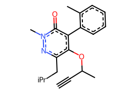 C#CC(C)Oc1c(CC(C)C)nn(C)c(=O)c1-c1ccccc1C